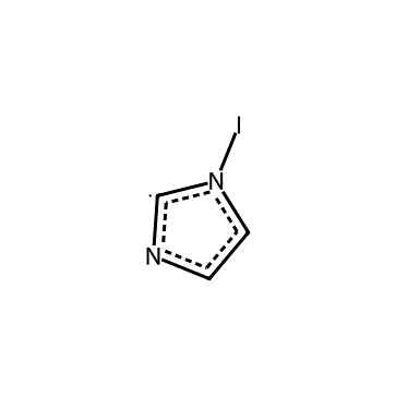 In1[c]ncc1